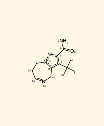 CC(C)(C)c1c(C(N)=O)nn2c1CN=CCC2